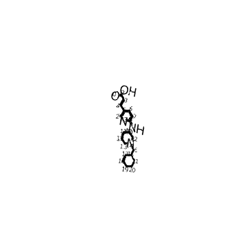 O=C(O)C=Cc1ccc(N[C@H]2CCCN(CC3CCCCC3)C2)nc1